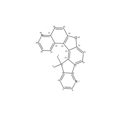 CC1(C)c2cccnc2-c2ccc3oc4ccc5ncccc5c4c3c21